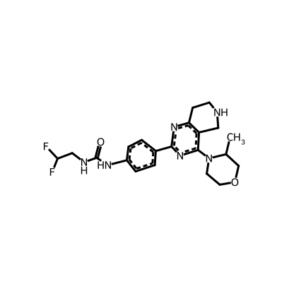 CC1COCCN1c1nc(-c2ccc(NC(=O)NCC(F)F)cc2)nc2c1CNCC2